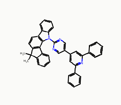 CC1(C)c2ccccc2-c2c1ccc1c3ccccc3n(-c3ncc(-c4cc(-c5ccccc5)nc(-c5ccccc5)c4)cn3)c21